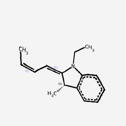 C/C=C\C=C1/[C@@H](C)c2ccccc2N1CC